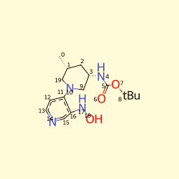 C[C@@H]1C[C@H](NC(=O)OC(C)(C)C)CN(c2ccncc2NO)C1